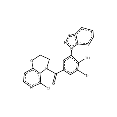 O=C(c1cc(Br)c(O)c(-n2nnc3ccccc32)c1)N1CCOc2ccnc(Cl)c21